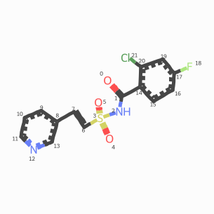 O=C(NS(=O)(=O)/C=C/c1cccnc1)c1ccc(F)cc1Cl